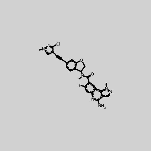 CN(C(=O)c1cc2c(cc1F)nc(N)c1cnn(C)c12)C1COc2cc(C#Cc3cn(C)nc3Cl)ccc21